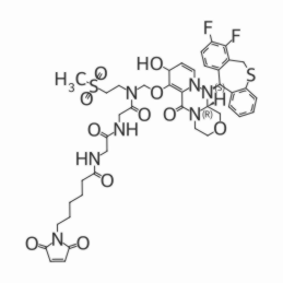 CS(=O)(=O)CCN(COC1=C2C(=O)N3CCOC[C@H]3N([C@@H]3c4ccccc4SCc4c3ccc(F)c4F)N2C=CC1O)C(=O)CNC(=O)CNC(=O)CCCCCN1C(=O)C=CC1=O